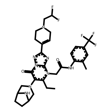 CCc1c(N2CC3CCC(C2)N3)c(=O)n2nc(C3=CCN(CC(F)F)CC3)nc2n1CC(=O)Nc1ccc(C(F)(F)F)cc1C